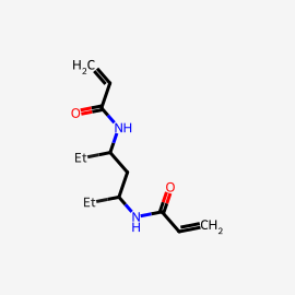 C=CC(=O)NC(CC)CC(CC)NC(=O)C=C